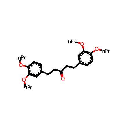 CCCOc1ccc(CCC(=O)CCc2ccc(OCCC)c(OCCC)c2)cc1OCCC